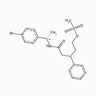 C[C@H](NC(=O)CC(CCOS(C)(=O)=O)c1ccccc1)c1ccc(Br)cc1